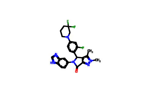 Cc1c2c(nn1C)C(=O)N(c1ccc3[nH]cnc3c1)C2c1ccc(N2CCCC(F)(F)C2)cc1F